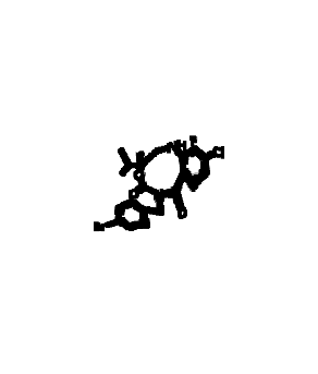 CC(C)C1(C)CNc2c(ccc(Cl)c2F)C(=O)N(Cc2ccc(Br)cc2)C(=O)O1